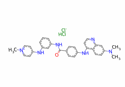 CN(C)c1ccc2c(Nc3ccc(C(=O)Nc4cccc(Nc5cc[n+](C)cc5)c4)cc3)ccnc2c1.Cl.[Cl-]